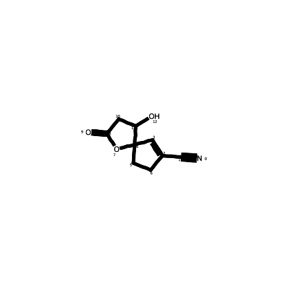 N#CC1=CC2(CC1)OC(=O)CC2O